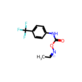 C/C=N\OC(=O)Nc1ccc(C(F)(F)F)cc1